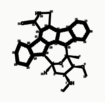 CN[C@H]1C[C@@H]2O[C@@](C)([C@H]1OC)n1c3ccccc3c3c4c(c5c6ccccc6n2c5c31)C(=O)NC4